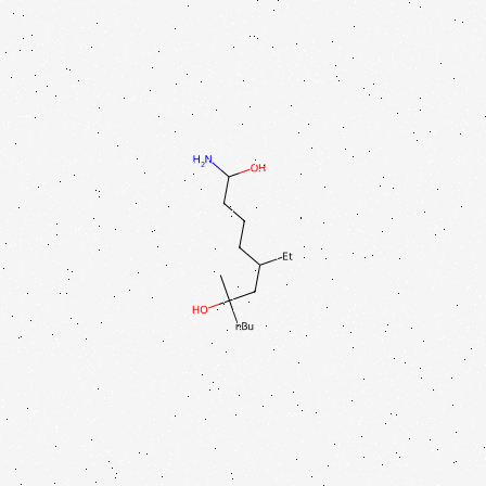 CCCCC(C)(O)CC(CC)CCCC(N)O